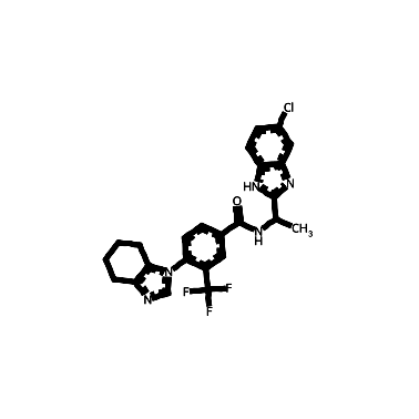 CC(NC(=O)c1ccc(-n2cnc3c2CCCC3)c(C(F)(F)F)c1)c1nc2cc(Cl)ccc2[nH]1